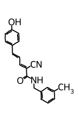 Cc1cccc(CNC(=O)/C(C#N)=C/C=C/c2ccc(O)cc2)c1